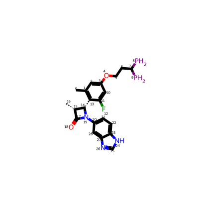 Cc1cc(OCCC(P)P)cc(F)c1[C@H]1[C@@H](C)C(=O)N1c1ccc2[nH]cnc2c1